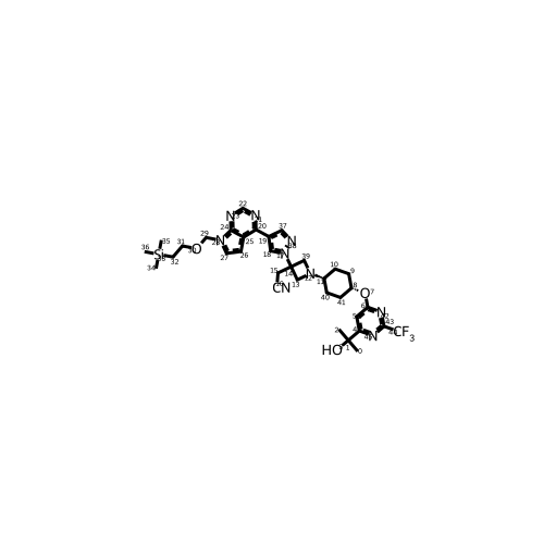 CC(C)(O)c1cc(O[C@H]2CC[C@H](N3CC(CC#N)(n4cc(-c5ncnc6c5ccn6COCC[Si](C)(C)C)cn4)C3)CC2)nc(C(F)(F)F)n1